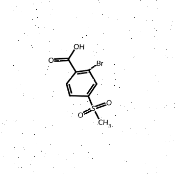 CS(=O)(=O)c1ccc(C(=O)O)c(Br)c1